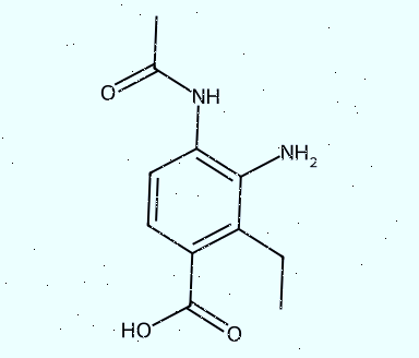 CCc1c(C(=O)O)ccc(NC(C)=O)c1N